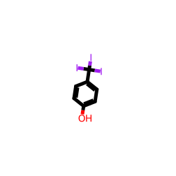 Oc1ccc(C(I)(I)I)cc1